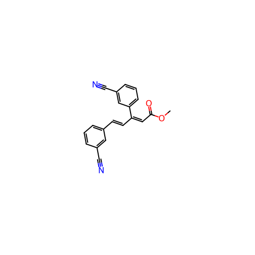 COC(=O)C=C(C=Cc1cccc(C#N)c1)c1cccc(C#N)c1